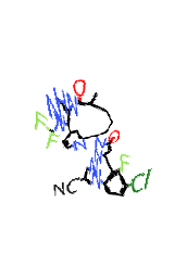 CC1CCCC(n2cnc(-c3c(-n4cc(C#N)cn4)ccc(Cl)c3F)cc2=O)c2cc(ccn2)-c2c(cnn2C(F)F)NC1=O